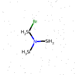 [SiH3]N([SiH3])[SiH2]Br